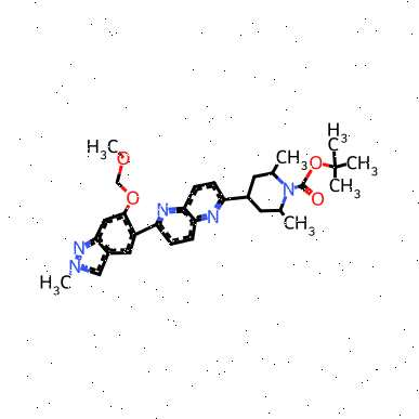 COCOc1cc2nn(C)cc2cc1-c1ccc2nc(C3CC(C)N(C(=O)OC(C)(C)C)C(C)C3)ccc2n1